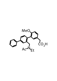 CCN(Cc1cc(-c2ccccc2)ccc1-c1cc(CC(=O)O)ccc1OC)C(C)=O